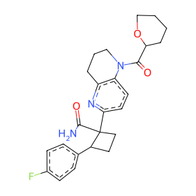 NC(=O)C1(c2ccc3c(n2)CCCN3C(=O)C2CCCCO2)CCC1c1ccc(F)cc1